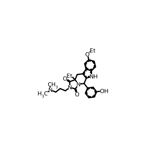 CCOc1ccc2[nH]c3c(c2c1)CC1(CC)C(=O)N(CCCN(C)C)C(=O)N1C3c1cccc(O)c1